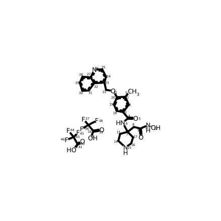 Cc1cc(C(=O)NC2(CC(=O)NO)CCNCC2)ccc1OCc1ccnc2ccccc12.O=C(O)C(F)(F)F.O=C(O)C(F)(F)F